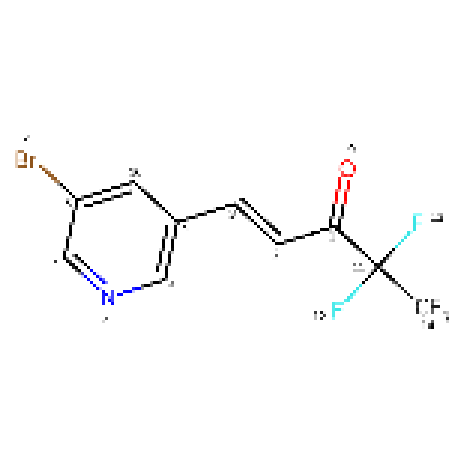 O=C(C=Cc1cncc(Br)c1)C(F)(F)C(F)(F)F